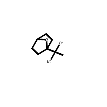 CCC(C)(CC)C12CCC(CC1)O2